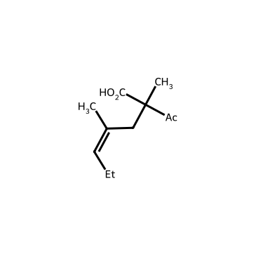 CCC=C(C)CC(C)(C(C)=O)C(=O)O